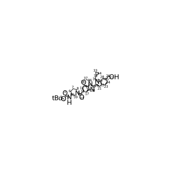 CC(C)(C)OC(=O)N[C@@H]1CCCN(C(=O)c2cc3c4c(c2)nc(-c2cc5ccc(CO)cc5n2CC2CC2)n4CCO3)C1